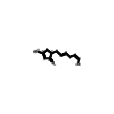 CC/C=C\C/C=C/CC1CC(CCC)=CC1=O